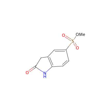 COS(=O)(=O)c1ccc2c(c1)CC(=O)N2